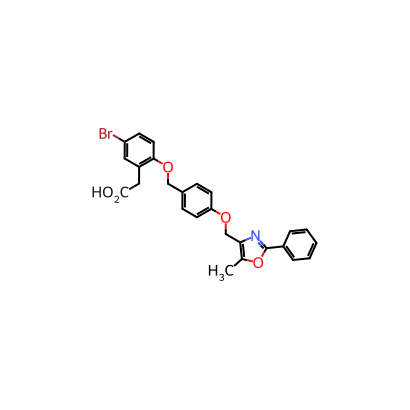 Cc1oc(-c2ccccc2)nc1COc1ccc(COc2ccc(Br)cc2CC(=O)O)cc1